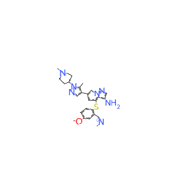 C/N=C\c1cc(OC)ccc1Sc1cc(-c2cnn(C3CCN(C)CC3)c2C)cn2ncc(N)c12